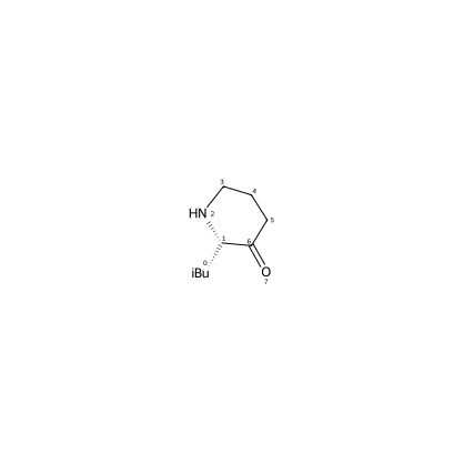 CC[C@@H](C)[C@@H]1NCCCC1=O